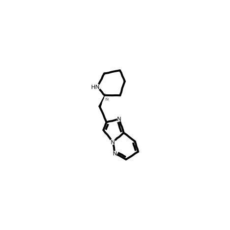 c1cnn2cc(C[C@@H]3CCCCN3)nc2c1